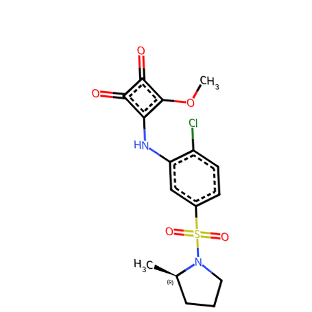 COc1c(Nc2cc(S(=O)(=O)N3CCC[C@H]3C)ccc2Cl)c(=O)c1=O